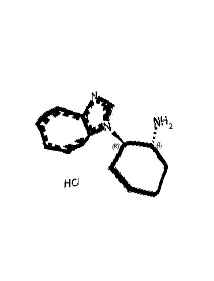 Cl.N[C@@H]1CCCC[C@H]1n1cnc2ccccc21